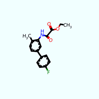 CCOC(=O)C(=O)Nc1cc(-c2ccc(F)cc2)ccc1C